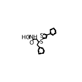 O=C(CC(Cc1ccccc1)Sc1cc(-c2ccccc2)cs1)NO